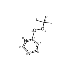 CC(C)(C)OOc1ncncn1